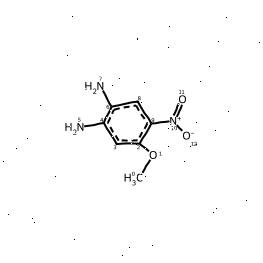 COc1cc(N)c(N)cc1[N+](=O)[O-]